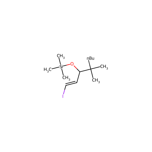 CCCCC(C)(C)C(/C=C/I)O[Si](C)(C)C